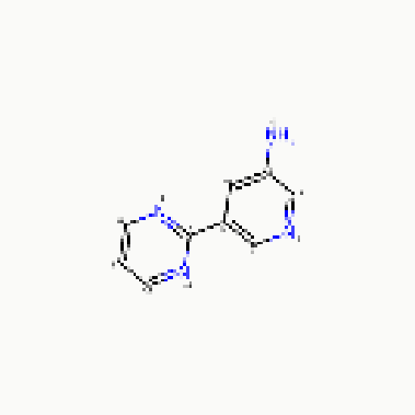 Nc1cncc(-c2ncccn2)c1